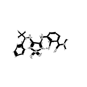 CN(C)C(=O)c1cccc(NC2=NS(=O)(=O)N=C2N[C@@H](c2ccccc2)C(C)(C)C)c1O